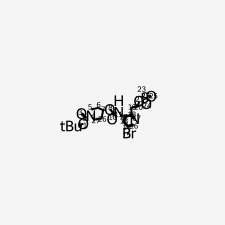 CC(C)(C)OC(=O)N1CCC(OC(=O)Nc2cc(Br)cnc2CCOS(C)(=O)=O)CC1